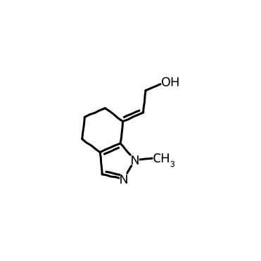 Cn1ncc2c1/C(=C/CO)CCC2